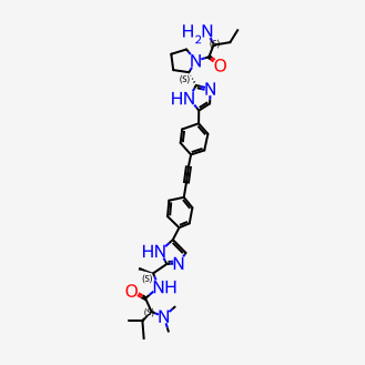 CC[C@H](N)C(=O)N1CCC[C@H]1c1ncc(-c2ccc(C#Cc3ccc(-c4cnc([C@H](C)NC(=O)[C@H](C(C)C)N(C)C)[nH]4)cc3)cc2)[nH]1